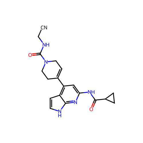 N#CCNC(=O)N1CC=C(c2cc(NC(=O)C3CC3)nc3[nH]ccc23)CC1